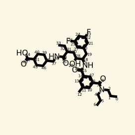 CCCN(CCC)C(=O)c1cc(C)cc(C(=O)NC(Cc2cc(F)cc(F)c2)C(O)CC(CC)C(=O)NCC2CCC(C(=O)O)CC2)c1